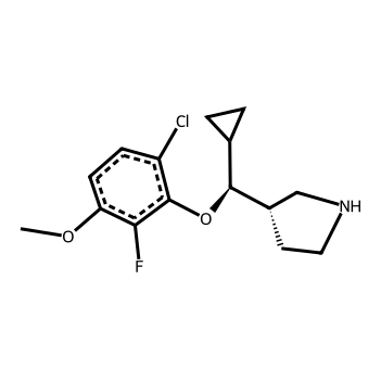 COc1ccc(Cl)c(O[C@@H](C2CC2)[C@H]2CCNC2)c1F